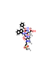 CC(C)[C@H](NC(=O)[C@H](Cc1cccc2ccccc12)NC(=O)[C@H](CC(=O)O)NC(=O)OCc1ccccc1)C(=O)NC/C=C/S(C)(=O)=O